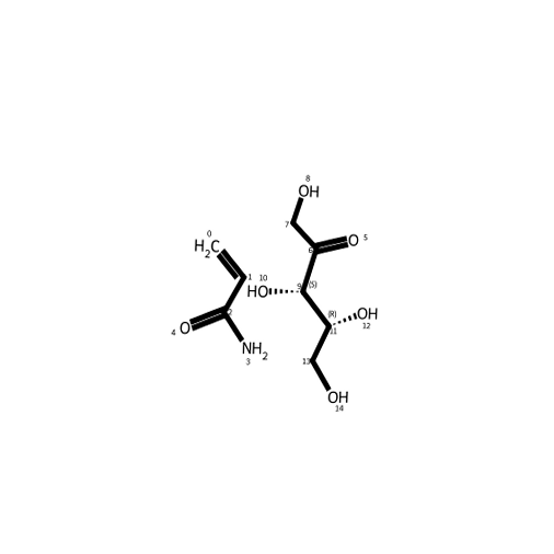 C=CC(N)=O.O=C(CO)[C@@H](O)[C@H](O)CO